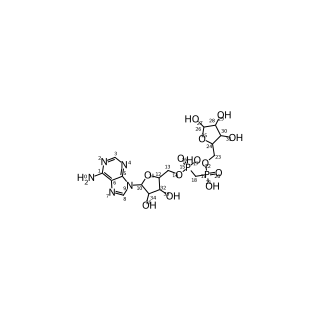 Nc1ncnc2c1ncn2C1OC(COP(=O)(O)CP(=O)(O)OCC2OC(O)C(O)C2O)C(O)C1O